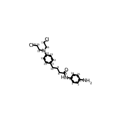 Nc1ccc(NC(=O)CCCc2ccc(N(CCCl)CCCl)cc2)cc1